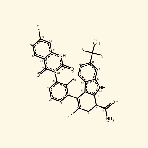 Cc1c(C2=C(F)C[C@H](C(N)=O)c3[nH]c4cc(C(C)(C)O)ccc4c32)cccc1-n1c(=O)[nH]c2cc(F)ccc2c1=O